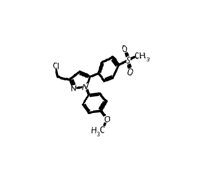 COc1ccc(-n2nc(CCl)cc2-c2ccc(S(C)(=O)=O)cc2)cc1